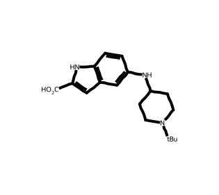 CC(C)(C)N1CCC(Nc2ccc3[nH]c(C(=O)O)cc3c2)CC1